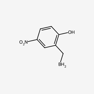 BCc1cc([N+](=O)[O-])ccc1O